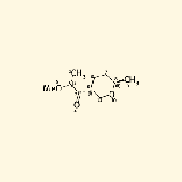 CON(C)C(=O)[C@@H]1CC[C@@H](C)OC1